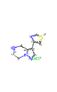 Cl.c1nc(-c2cnn3c2CNCC3)cs1